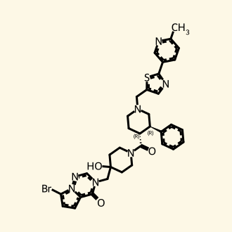 Cc1ccc(-c2ncc(CN3CC[C@@H](C(=O)N4CCC(O)(Cn5cnn6c(Br)ccc6c5=O)CC4)[C@H](c4ccccc4)C3)s2)cn1